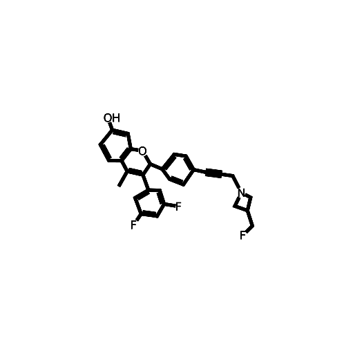 CC1=C(c2cc(F)cc(F)c2)C(c2ccc(C#CCN3CC(CF)C3)cc2)Oc2cc(O)ccc21